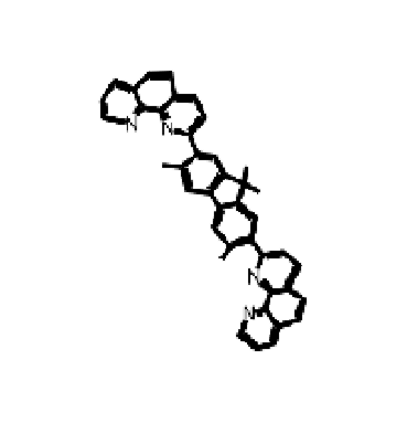 Cc1cc2c(cc1-c1ccc3ccc4cccnc4c3n1)C(C)(C)c1cc(-c3ccc4ccc5cccnc5c4n3)c(C)cc1-2